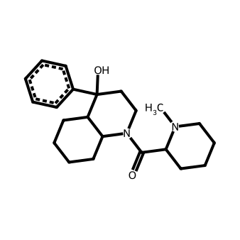 CN1CCCCC1C(=O)N1CCC(O)(c2ccccc2)C2CCCCC21